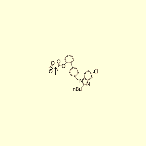 CCCCc1nc2cc(Cl)ccc2n1Cc1ccc(-c2ccccc2OC(=O)NS(C)(=O)=O)cc1